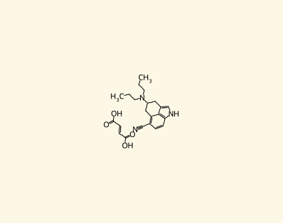 CCCN(CCC)C1Cc2c[nH]c3ccc(C#N)c(c23)C1.O=C(O)/C=C/C(=O)O